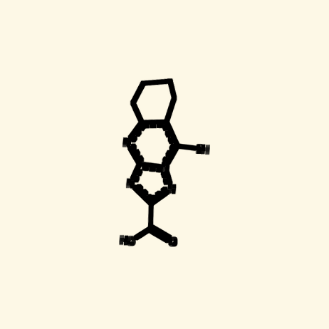 O=C(O)c1nc2nc3c(c(S)n2n1)CCCC3